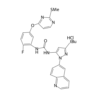 CSc1nccc(Oc2ccc(F)c(NC(=O)Nc3cc(C(C)(C)C)nn3-c3ccc4ncccc4c3)c2)n1.Cl